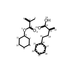 C=C(C)C(=O)OC1CCCCC1.C=C(CCc1ccccc1)C(=O)O